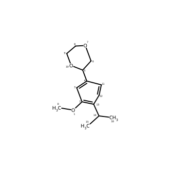 COc1cc(C2COCCO2)ccc1C(C)C